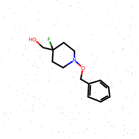 OCC1(F)CCN(OCc2ccccc2)CC1